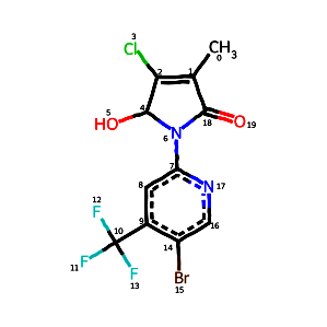 CC1=C(Cl)C(O)N(c2cc(C(F)(F)F)c(Br)cn2)C1=O